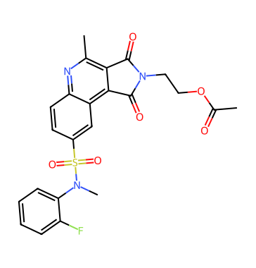 CC(=O)OCCN1C(=O)c2c(C)nc3ccc(S(=O)(=O)N(C)c4ccccc4F)cc3c2C1=O